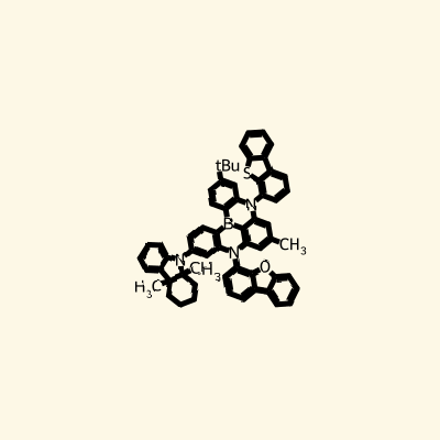 Cc1cc2c3c(c1)N(c1cccc4c1sc1ccccc14)c1cc(C(C)(C)C)ccc1B3c1ccc(N3c4ccccc4C4(C)CCCCC34C)cc1N2c1cccc2c1oc1ccccc12